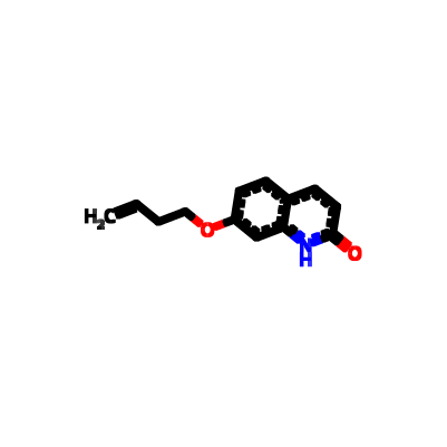 C=CCCOc1ccc2ccc(=O)[nH]c2c1